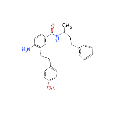 CC(CCc1ccccc1)NC(=O)c1ccc(N)c(CCc2ccc(O)cc2)c1